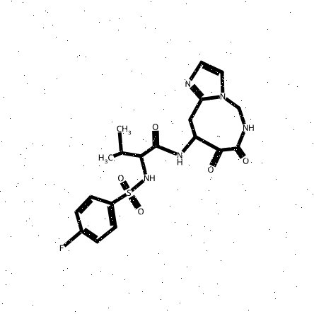 CC(C)C(NS(=O)(=O)c1ccc(F)cc1)C(=O)NC1Cc2nccn2CNC(=O)C1=O